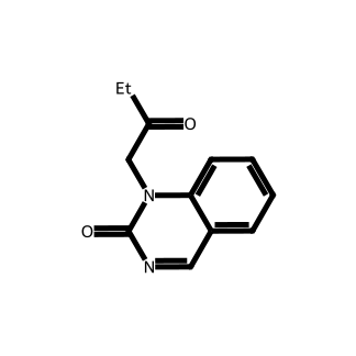 CCC(=O)Cn1c(=O)ncc2ccccc21